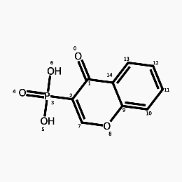 O=c1c(P(=O)(O)O)coc2ccccc12